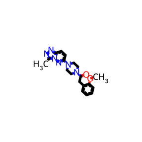 COc1ccccc1CC(=O)N1CCN(c2ccc3nnc(C)n3n2)CC1